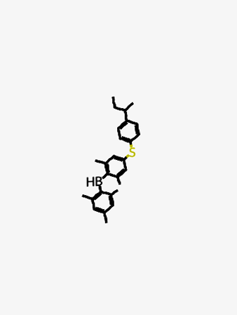 CCC(C)c1ccc(Sc2cc(C)c(Bc3c(C)cc(C)cc3C)c(C)c2)cc1